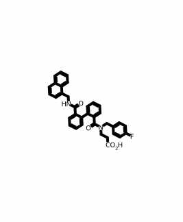 O=C(O)CCN(Cc1ccc(F)cc1)C(=O)c1ccccc1-c1ccccc1C(=O)NCc1cccc2ccccc12